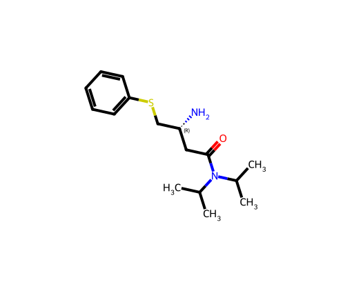 CC(C)N(C(=O)C[C@@H](N)CSc1ccccc1)C(C)C